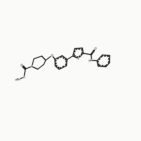 CCCCOC(=O)N1CCC(Oc2cccc(-c3ccc(C(=O)Nc4ccccc4)s3)c2)CC1